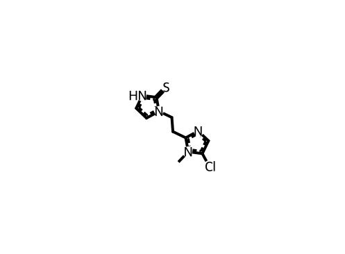 Cn1c(Cl)cnc1CCn1cc[nH]c1=S